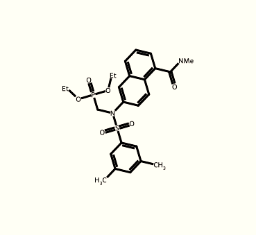 CCOP(=O)(CN(c1ccc2c(C(=O)NC)cccc2c1)S(=O)(=O)c1cc(C)cc(C)c1)OCC